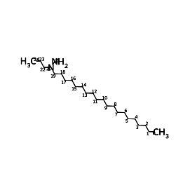 CCCCCCCCCCCCCCCCCCCCN(N)CCC